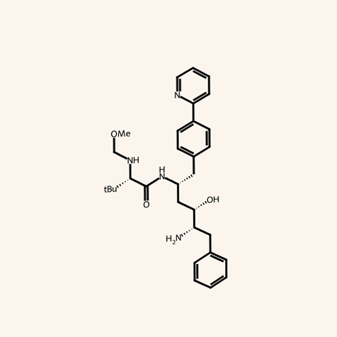 COCN[C@H](C(=O)N[C@H](Cc1ccc(-c2ccccn2)cc1)C[C@H](O)[C@@H](N)Cc1ccccc1)C(C)(C)C